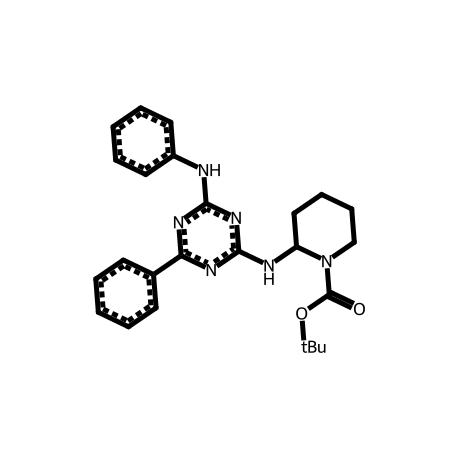 CC(C)(C)OC(=O)N1CCCCC1Nc1nc(Nc2ccccc2)nc(-c2ccccc2)n1